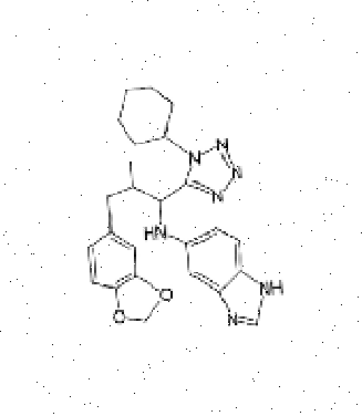 CC(Cc1ccc2c(c1)OCO2)C(Nc1ccc2[nH]cnc2c1)c1nnnn1C1CCCCC1